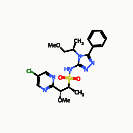 COC[C@@H](C)n1c(NS(=O)(=O)[C@@H](C)[C@H](OC)c2ncc(Cl)cn2)nnc1-c1ccccc1